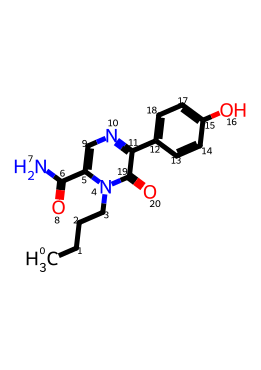 CCCCn1c(C(N)=O)cnc(-c2ccc(O)cc2)c1=O